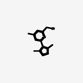 Cc1cc(CC(C)C)nc(-n2c(C)ccc2C)c1